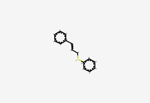 C(=C\c1ccccc1)/CSc1ccccc1